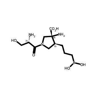 N[C@@H](CO)C(=O)N1C[C@H](CCCB(O)O)[C@](N)(C(=O)O)C1